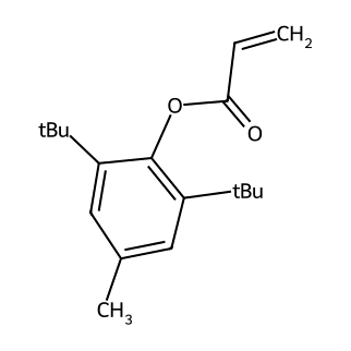 C=CC(=O)Oc1c(C(C)(C)C)cc(C)cc1C(C)(C)C